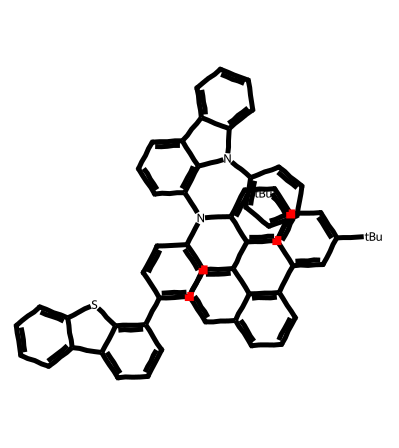 CC(C)(C)c1cc(-c2cccc3cccc(-c4ccccc4N(c4ccc(-c5cccc6c5sc5ccccc56)cc4)c4cccc5c6ccccc6n(-c6ccccc6)c45)c23)cc(C(C)(C)C)c1